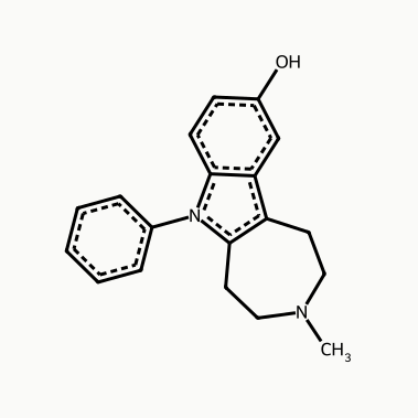 CN1CCc2c(n(-c3ccccc3)c3ccc(O)cc23)CC1